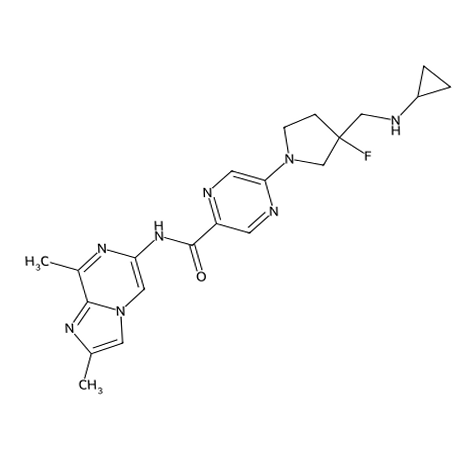 Cc1cn2cc(NC(=O)c3cnc(N4CCC(F)(CNC5CC5)C4)cn3)nc(C)c2n1